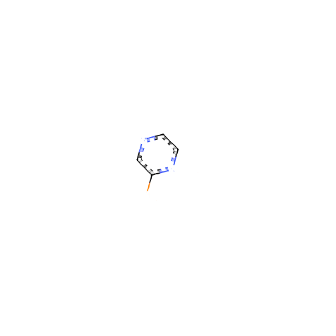 B.Pc1cnccn1